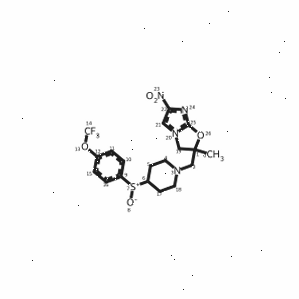 CC1(CN2CCC([S+]([O-])c3ccc(OC(F)(F)F)cc3)CC2)Cn2cc([N+](=O)[O-])nc2O1